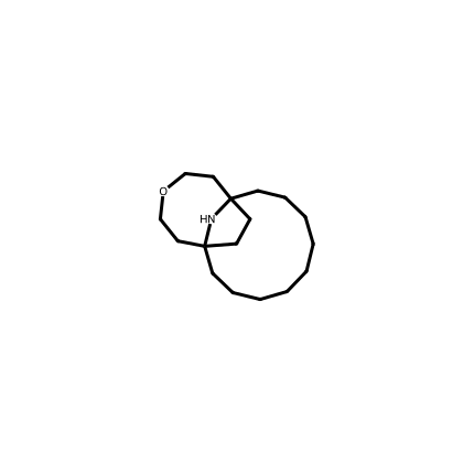 C1CCCCC23CCOCCC(CCCC1)(CC2)N3